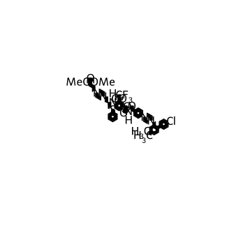 COP(=O)(CCCN1CCN(CC[C@H](CSc2ccccc2)Nc2ccc(S(=O)(=O)NC(=O)c3ccc(N4CCN(CC5=C(c6ccc(Cl)cc6)CCC(C)(C)C5)CC4)cc3)cc2S(=O)(=O)C(F)(F)F)CC1)OC